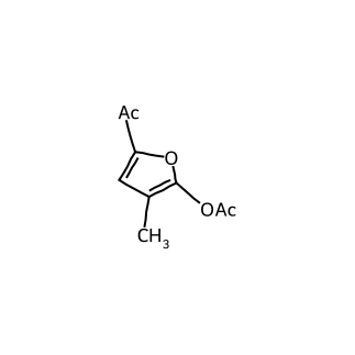 CC(=O)Oc1oc(C(C)=O)cc1C